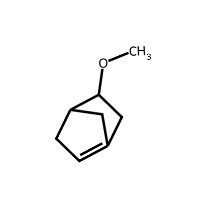 COC1CC2=CCC1C2